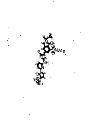 CNS(=O)(=O)c1cc(-c2sc(Nc3cccc(N4CC[C@@H](O[Si](C)(C)C(C)(C)C)C4=O)n3)nc2C)cc2c1C(=O)N(C(C)C1CC1)C2